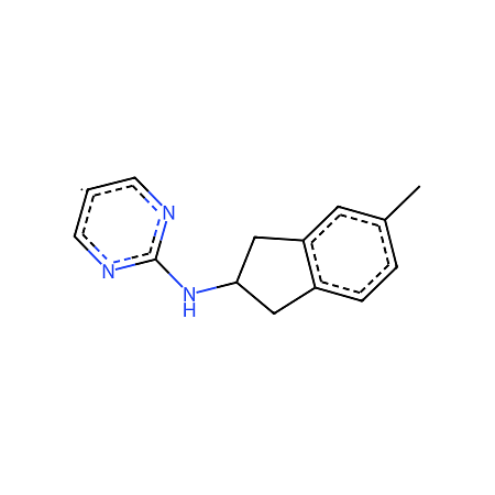 Cc1ccc2c(c1)CC(Nc1nc[c]cn1)C2